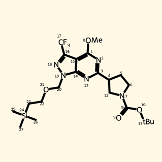 COc1nc(C2CCN(C(=O)OC(C)(C)C)C2)nc2c1c(C(F)(F)F)nn2COCC[Si](C)(C)C